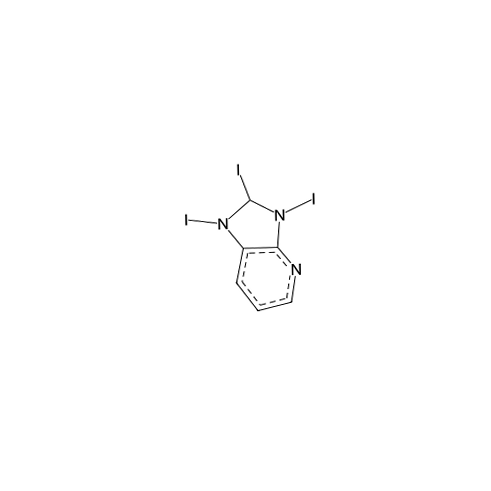 IC1N(I)c2cccnc2N1I